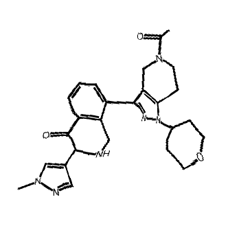 CC(=O)N1CCc2c(c(-c3cccc4c3CNC(c3cnn(C)c3)C4=O)nn2C2CCOCC2)C1